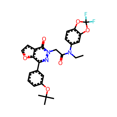 CCN(C(=O)Cn1nc(-c2cccc(OC(C)(C)C)c2)c2occc2c1=O)c1ccc2c(c1)OC(F)(F)O2